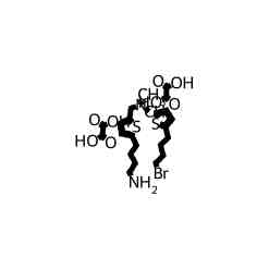 BrCCCCc1cccs1.CN(C)Cc1ccc(CCCCN)s1.O=C(O)C(=O)O.O=C(O)C(=O)O